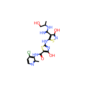 Cc1nccc(Cl)c1NC(=O)c1sc(Nc2snc(O)c2C(=N)NC(C)CO)nc1O